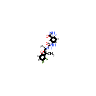 Cc1c([C@@H](NC(=O)Nc2cccc(C(N)=O)c2)C(C)C)oc2ccc(F)c(F)c12